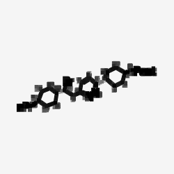 CCCCC[C@H]1CC[C@H](c2ccc(CC(Br)[C@H]3CC[C@H](CCC)CC3)nn2)CC1